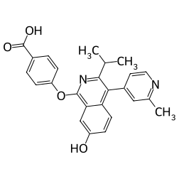 Cc1cc(-c2c(C(C)C)nc(Oc3ccc(C(=O)O)cc3)c3cc(O)ccc23)ccn1